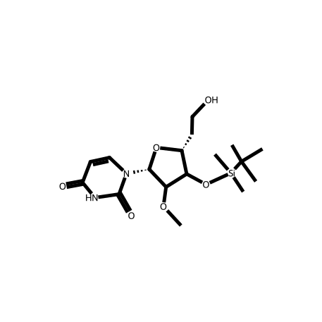 COC1C(O[Si](C)(C)C(C)(C)C)[C@@H](CCO)O[C@H]1n1ccc(=O)[nH]c1=O